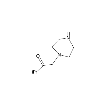 CC(C)C(=O)CN1CCNCC1